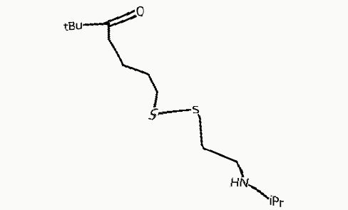 CC(C)NCCSSCCC(=O)C(C)(C)C